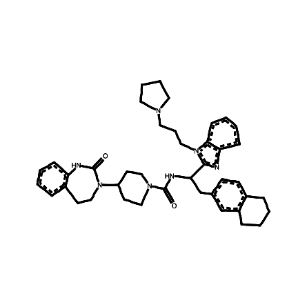 O=C(NC(Cc1ccc2c(c1)CCCC2)c1nc2ccccc2n1CCCN1CCCC1)N1CCC(N2CCc3ccccc3NC2=O)CC1